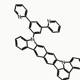 c1ccc(-c2cc(-c3ccccn3)cc(-n3c4ccccc4c4cc5cc6c7cccc8c9ccccc9n(c6cc5cc43)c87)c2)nc1